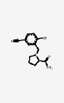 N#Cc1ccc(O)c(CN2CC[CH]C2C(N)=O)c1